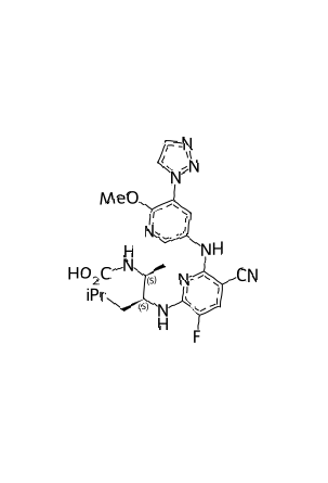 COc1ncc(Nc2nc(N[C@@H](CC(C)C)[C@H](C)NC(=O)O)c(F)cc2C#N)cc1-n1ccnn1